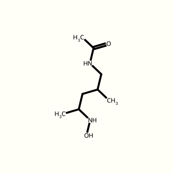 CC(=O)NCC(C)CC(C)NO